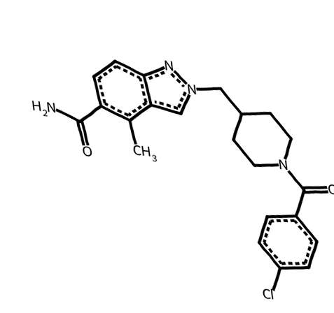 Cc1c(C(N)=O)ccc2nn(CC3CCN(C(=O)c4ccc(Cl)cc4)CC3)cc12